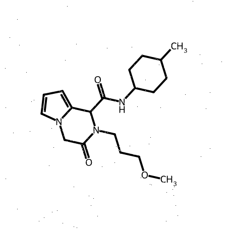 COCCCN1C(=O)Cn2cccc2C1C(=O)NC1CCC(C)CC1